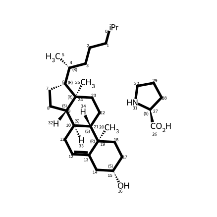 CC(C)CCC[C@@H](C)[C@H]1CC[C@H]2[C@@H]3CC=C4C[C@@H](O)CC[C@]4(C)[C@H]3CC[C@]12C.O=C(O)[C@@H]1CCCN1